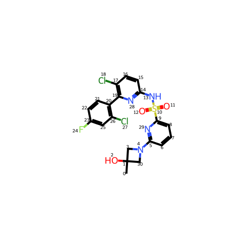 CC1(O)CN(c2cccc(S(=O)(=O)Nc3ccc(Cl)c(-c4ccc(F)cc4Cl)n3)n2)C1